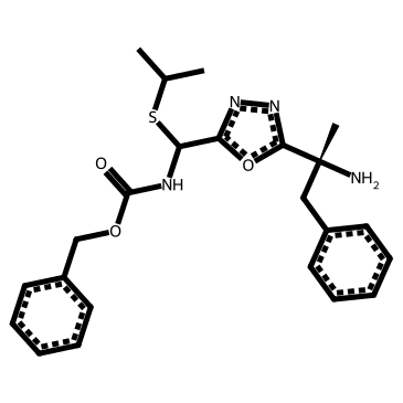 CC(C)SC(NC(=O)OCc1ccccc1)c1nnc([C@](C)(N)Cc2ccccc2)o1